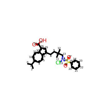 CC(C)c1ccc2c(CCC(C)(C)CN(Cl)S(=O)(=O)c3ccccc3)cc(C(=O)O)c-2cc1